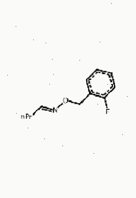 CCCC=NOCc1ccccc1F